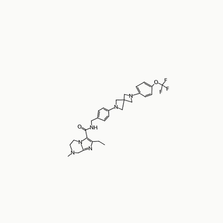 CCc1nc2n(c1C(=O)NCc1ccc(N3CC4(C3)CN(c3ccc(OC(F)(F)F)cc3)C4)cc1)CCN(C)C2